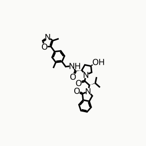 Cc1cc(-c2ocnc2C)ccc1CNC(=O)[C@@H]1C[C@@H](O)CN1C(=O)[C@H](C(C)C)N1Cc2ccccc2C1=O